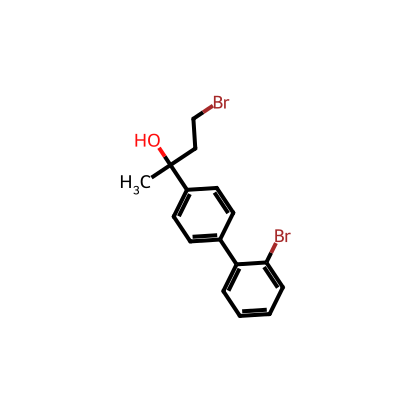 CC(O)(CCBr)c1ccc(-c2ccccc2Br)cc1